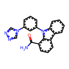 NC(=O)c1cccc2c3ccccc3n(-c3cccc(-n4cnnc4)c3)c12